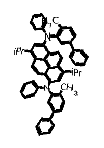 Cc1ccc(-c2ccccc2)cc1N(c1ccccc1)c1cc(C(C)C)c2ccc3c(N(c4ccccc4)c4cc(-c5ccccc5)ccc4C)cc(C(C)C)c4ccc1c2c43